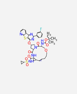 CC(C)(C)OC(=O)NC1COCCC/C=C/C2CC2(C(=O)NS(=O)(=O)C2CC2)NC(=O)C2CC(Oc3nc(-c4cccc(F)c4)nc4c3sc3ncccc34)CN2C1=O